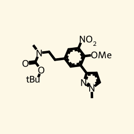 COc1c(-c2ccn(C)n2)cc(CCN(C)C(=O)OC(C)(C)C)cc1[N+](=O)[O-]